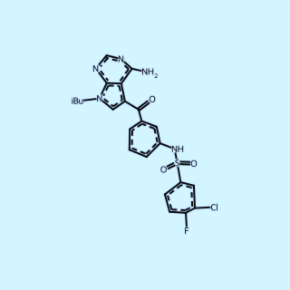 CCC(C)n1cc(C(=O)c2cccc(NS(=O)(=O)c3ccc(F)c(Cl)c3)c2)c2c(N)ncnc21